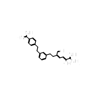 C=C/C(=C\C=C(/C)C(=N)N)CCc1cccc(CCc2ccc(C(=N)N)cc2)c1